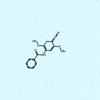 CCCCOC1=CC(NC(=O)c2ccccc2)=C(OCCCC)CC1=[N+]=[N-]